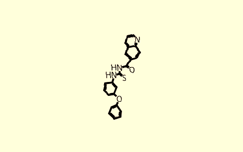 O=C(NC(=S)Nc1cccc(Oc2ccccc2)c1)c1ccc2ncccc2c1